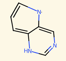 C1=C[N]C2=CN=CNC2=C1